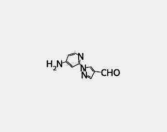 Nc1ccnc(-n2cc(C=O)cn2)c1